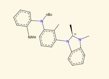 CCCCN(c1ccccc1NC)c1cccc(N2c3ccccc3N(C)[C@@H]2C)c1C